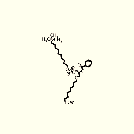 CCCCCCCCCCCCCCCCCCOCC(COP(=O)([O-])OCCCCCCCCCC[N+](C)(C)C)OC(=O)c1ccccc1